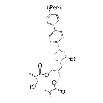 C=C(C)C(=O)OCC(COC(=O)C(=C)CO)CC1CCC(c2ccc(-c3ccc(CCCCC)cc3)cc2)CC1CC